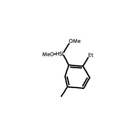 CCc1ccc(C)cc1[SiH](OC)OC